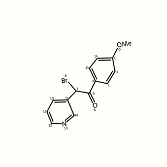 COc1ccc(C(=O)C(Br)c2cccnc2)cc1